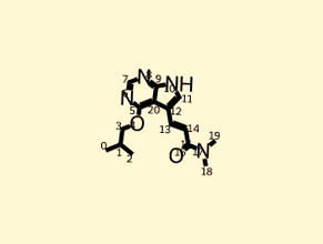 CC(C)COc1ncnc2[nH]cc(/C=C/C(=O)N(C)C)c12